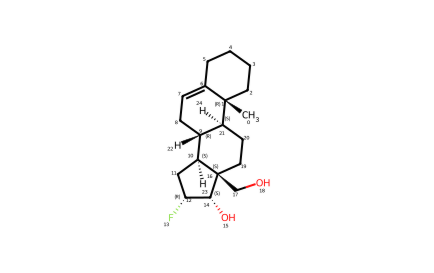 C[C@]12CCCCC1=CC[C@H]1[C@@H]3C[C@@H](F)[C@@H](O)[C@@]3(CO)CC[C@@H]12